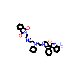 C[N+](C)(CCN1C(=O)c2ccccc2C1=O)CCN(CCN1CCC(C(C(N)=O)(c2ccccc2)c2ccccc2)C1)c1ccccc1